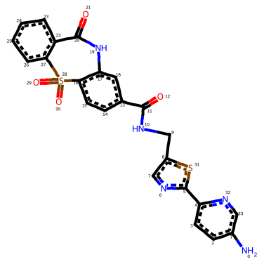 Nc1ccc(-c2ncc(CNC(=O)c3ccc4c(c3)NC(=O)c3ccccc3S4(=O)=O)s2)nc1